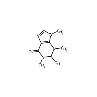 CN1C(=O)c2ncn(C)c2N(C)C1O